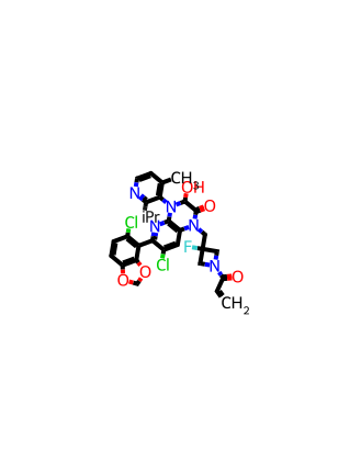 C=CC(=O)N1CC(F)(CN2C(=O)C(O)N(c3c(C)ccnc3C(C)C)c3nc(-c4c(Cl)ccc5c4OCO5)c(Cl)cc32)C1